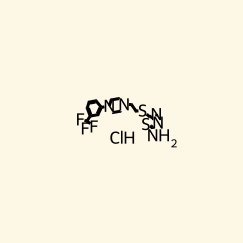 Cl.Nc1nnc(SCCN2CCN(c3cccc(C(F)(F)F)c3)CC2)s1